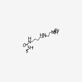 CC(C)NCCNCCCCCNC(=O)[SH]=S